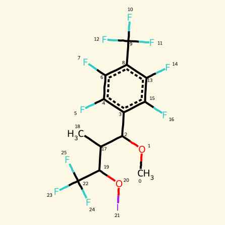 COC(c1c(F)c(F)c(C(F)(F)F)c(F)c1F)C(C)C(OI)C(F)(F)F